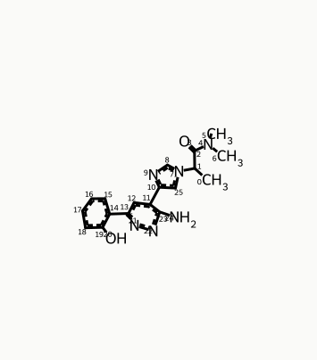 CC(C(=O)N(C)C)n1cnc(-c2cc(-c3ccccc3O)nnc2N)c1